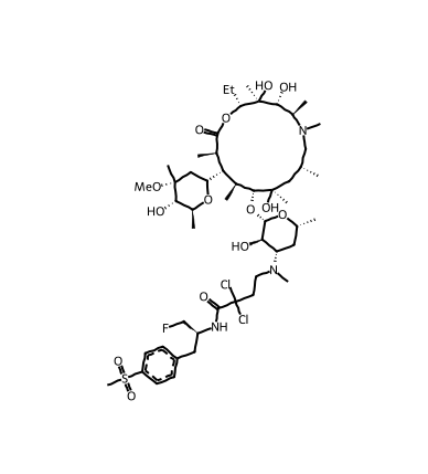 CC[C@H]1OC(=O)[C@H](C)[C@@H](C2C[C@@](C)(OC)[C@@H](O)[C@H](C)O2)[C@H](C)[C@@H](O[C@@H]2O[C@H](C)C[C@H](N(C)CCC(Cl)(Cl)C(=O)N[C@H](CF)Cc3ccc(S(C)(=O)=O)cc3)[C@H]2O)[C@](C)(O)C[C@@H](C)CN(C)[C@H](C)[C@@H](O)[C@]1(C)O